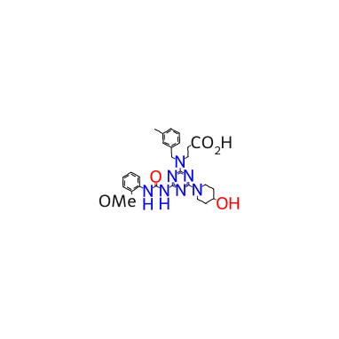 COc1ccccc1NC(=O)Nc1nc(N2CCC(O)CC2)nc(N(CCC(=O)O)Cc2cccc(C)c2)n1